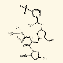 CC1CC(C#N)N(C(=O)C(CN2CC(NC(C)c3cccc(C(F)(F)F)c3)CC2C=O)NC(=O)OC(C)(C)C)C1